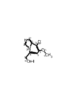 COc1cc(CO)n2cncc2c1Cl